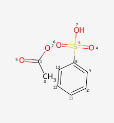 CC([O])=O.O=S(=O)(O)c1ccccc1